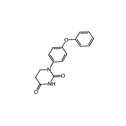 O=C1CCN(c2ccc(Oc3ccccc3)cc2)C(=O)N1